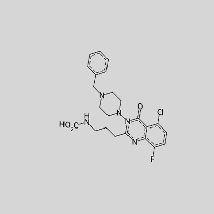 O=C(O)NCCCc1nc2c(F)ccc(Cl)c2c(=O)n1N1CCN(Cc2ccccc2)CC1